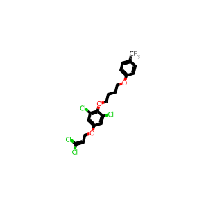 FC(F)(F)c1ccc(OCCCCOc2c(Cl)cc(OCC=C(Cl)Cl)cc2Cl)cc1